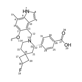 COc1cc(C)c2[nH]ccc2c1CN1CCC2(CC(F)C2)C[C@H]1c1ccc(C(=O)O)cc1